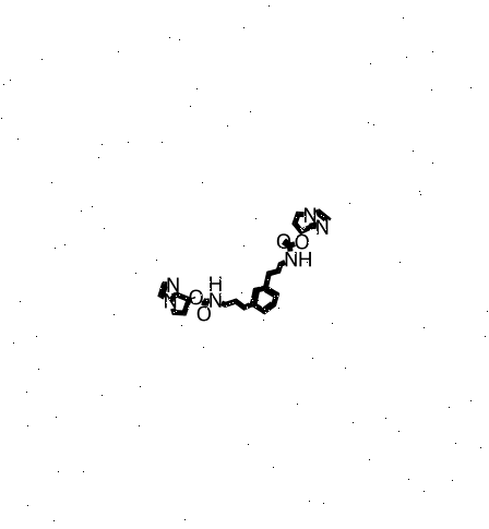 O=C(NCCCc1cccc(CCCNC(=O)O[C@@H]2CCn3ccnc32)c1)O[C@@H]1CCn2ccnc21